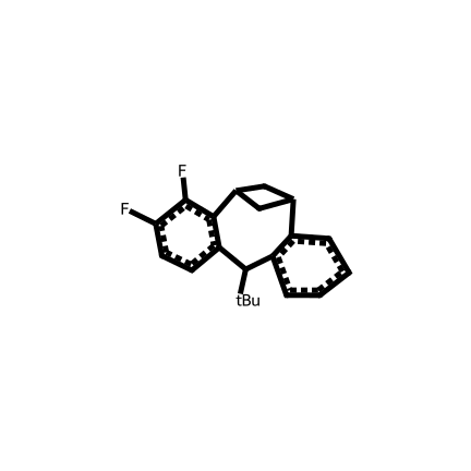 CC(C)(C)C1c2ccccc2C2CC(C2)c2c1ccc(F)c2F